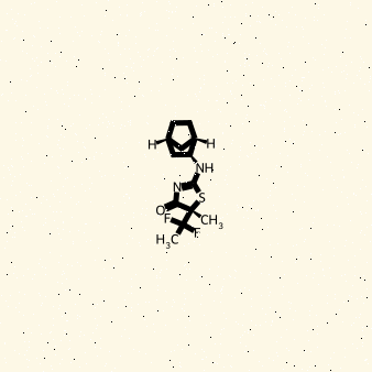 CC(F)(F)[C@@]1(C)SC(N[C@H]2C[C@@H]3CC[C@H]2C3)=NC1=O